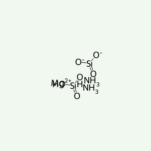 N.N.O=[Si](O)O.O=[Si]([O-])[O-].[Mg+2]